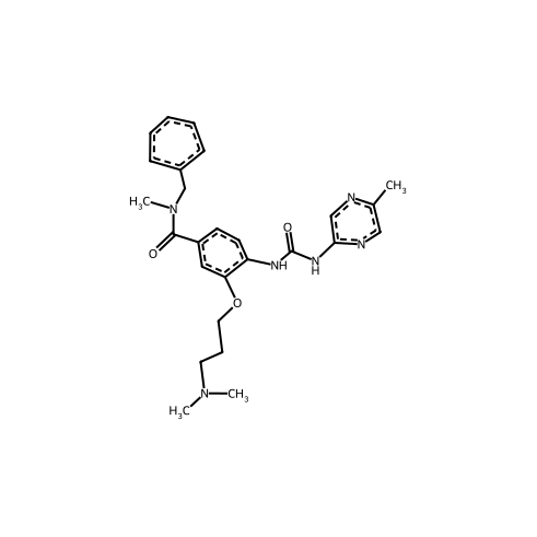 Cc1cnc(NC(=O)Nc2ccc(C(=O)N(C)Cc3ccccc3)cc2OCCCN(C)C)cn1